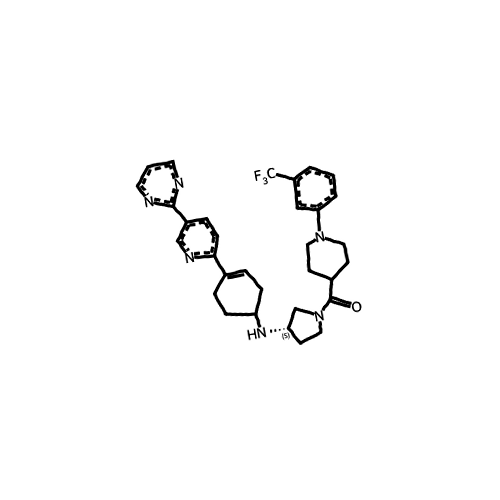 O=C(C1CCN(c2cccc(C(F)(F)F)c2)CC1)N1CC[C@H](NC2CC=C(c3ccc(-c4ncccn4)cn3)CC2)C1